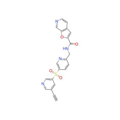 C#Cc1cncc(S(=O)(=O)c2ccc(CNC(=O)c3cc4ccncc4o3)nc2)c1